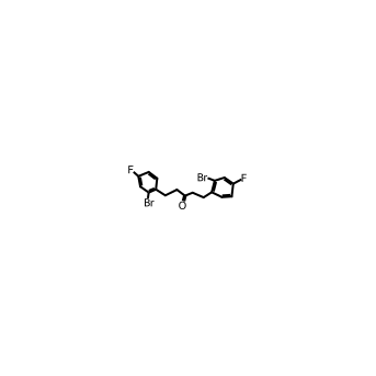 O=C(CCc1ccc(F)cc1Br)CCc1ccc(F)cc1Br